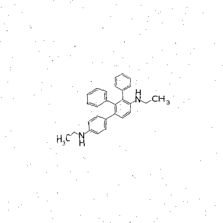 CCNc1ccc(-c2ccc(NCC)c(-c3ccccc3)c2-c2ccccc2)cc1